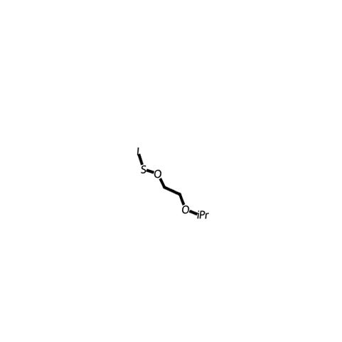 CC(C)OCCOSI